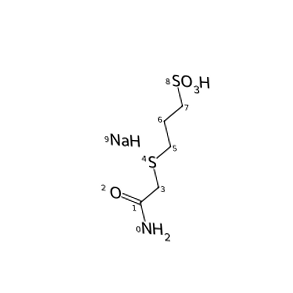 NC(=O)CSCCCS(=O)(=O)O.[NaH]